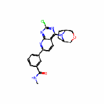 CNC(=O)c1cccc(-c2ccc3c(N4C5CCC4COC5)nc(Cl)nc3n2)c1